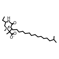 CCC(C[N+](C)(C)C(C)(C)C(=O)[O-])NC(=O)CCCCCCCCCCCCCCC(C)C